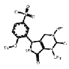 CCCN1CC2=C(C(=O)NC2c2cc(S(=O)(=O)Cl)ccc2OCC)N(C)C1Cl